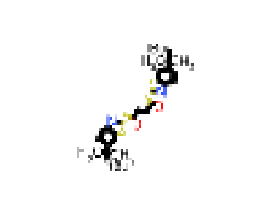 CC(C)(C)CC(C)(C)c1ccc2nc(SC(=O)CCC(=O)Sc3nc4ccc(C(C)(C)CC(C)(C)C)cc4s3)sc2c1